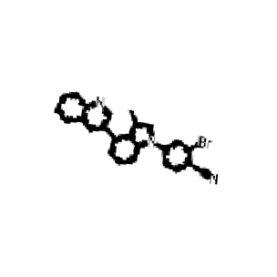 Cc1cn(-c2ccc(C#N)c(Br)c2)c2cccc(-c3cnc4ccccc4c3)c12